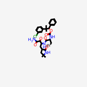 CC(C)CC(NC(=O)OC(c1ccccc1)C(C)(C)c1cccc(Cl)c1)C(=O)NC(CC1CC(C)(C)NC1=O)C(=O)C(N)=O